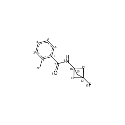 Cc1ccccc1C(=O)NC12CC(F)(C1)C2